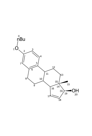 CCCCOc1ccc2c(c1)CCC1C2CC[C@@]2(C)C1C=C[C@@H]2O